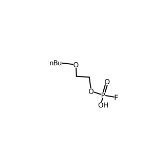 CCCCOCCOP(=O)(O)F